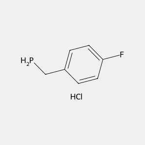 Cl.Fc1ccc(CP)cc1